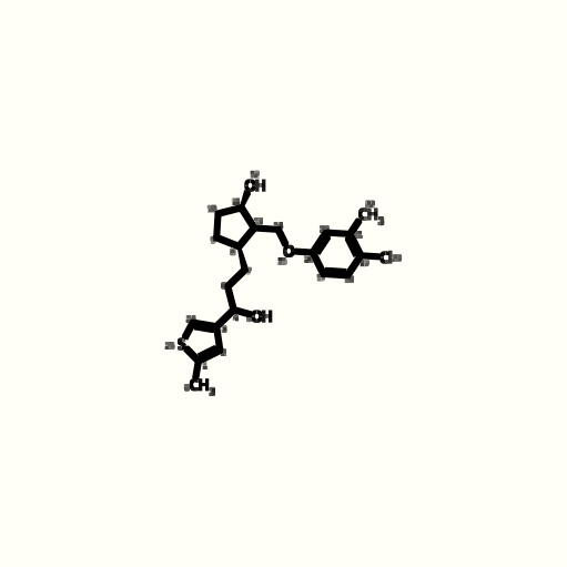 Cc1cc(C(O)CC[C@H]2CC[C@@H](O)C2COc2ccc(Cl)c(C)c2)cs1